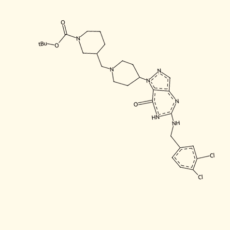 CC(C)(C)OC(=O)N1CCCC(CN2CCC(n3ncc4nc(NCc5ccc(Cl)c(Cl)c5)[nH]c(=O)c43)CC2)C1